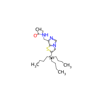 CCC[CH2][Sn]([CH2]CCC)([CH2]CCC)[c]1cn2cnc(CNC(C)=O)c2s1